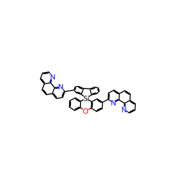 c1ccc2c(c1)Oc1ccc(-c3ccc4ccc5cccnc5c4n3)cc1[Si]21c2ccccc2-c2ccc(-c3ccc4ccc5cccnc5c4n3)cc21